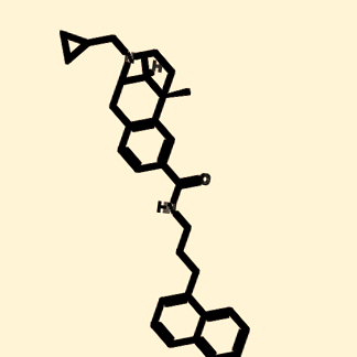 C[C@H]1C2Cc3ccc(C(=O)NCCCc4cccc5ccccc45)cc3[C@@]1(C)CCN2CC1CC1